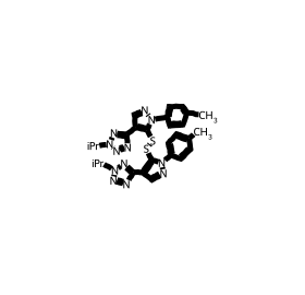 Cc1ccc(-n2ncc(-c3nnn(C(C)C)n3)c2SSc2c(-c3nnn(C(C)C)n3)cnn2-c2ccc(C)cc2)cc1